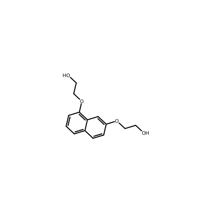 OCCOc1ccc2cccc(OCCO)c2c1